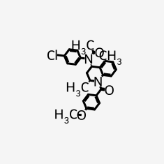 COc1ccc(C(=O)N2c3cccc(C)c3[C@@H](N(C(C)=O)c3ccc(Cl)cc3)C[C@H]2C)cc1